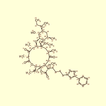 CC[C@H]1OC(=O)[C@H](C)C(=O)[C@H](C)[C@@H](O[C@@H]2O[C@H](C)C[C@H](N(C)CC)[C@H]2O)[C@](C)(OC)C[C@@H](C)C(=O)[C@H](C)[C@H]2N(CCCCn3cnc(-c4cccnc4)c3)C(=O)O[C@]12C